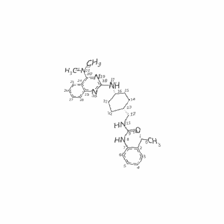 CCc1ccccc1NC(=O)NC[C@H]1CC[C@@H](Nc2nc(N(C)C)c3ccccc3n2)CC1